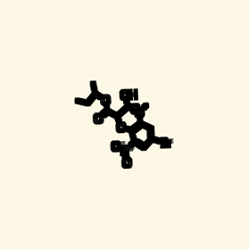 CCC(C)OC(=O)C(Oc1c(OC)cc(Br)cc1[N+](=O)[O-])C(=O)O